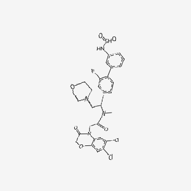 CN(C(=O)CN1C(=O)COc2cc(Cl)c(Cl)cc21)C(CN1CCOCC1)c1ccc(-c2cccc(N[SH](=O)=O)c2)c(F)c1